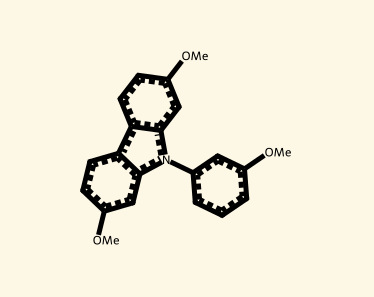 COc1cccc(-n2c3cc(OC)ccc3c3ccc(OC)cc32)c1